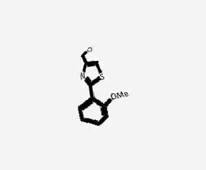 COc1ccccc1-c1nc(CCl)cs1